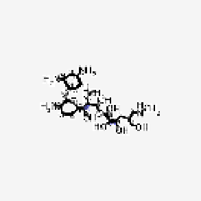 CNCC(CO)C/C(O)=C(/O)[C@H](O)OC(O)/C(NC)=C(\O)C1CCC(N)[C@@H](O[C@H]2CC[C@H](N)CC2N)O1